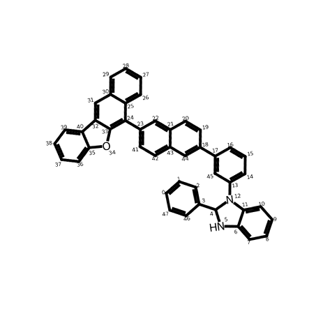 c1ccc(C2Nc3ccccc3N2c2cccc(-c3ccc4cc(-c5c6ccccc6cc6c5oc5ccccc56)ccc4c3)c2)cc1